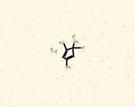 CC1=C[C](C)([V+3])C(C)=C1.[Cl-].[Cl-].[Cl-]